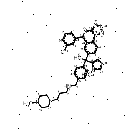 CN1CCN(CCCNCc2ccc(C(O)(c3ccc4c(c3)c(-c3cccc(Cl)c3)nc3nnnn34)c3cncn3C)cc2)CC1